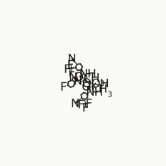 CC(Cn1cnc2cc(F)ccc21)(OC[C@](C)(O)C(=O)Nc1ccc(C#N)c(C(F)(F)F)c1)C(=O)Nc1ccc(C#N)c(C(F)(F)F)c1